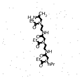 C=C(N)CN(CCNC(=O)CN(CCNC(=O)CN(CCC)C(=O)CC)C(=O)CC)C(=O)CC